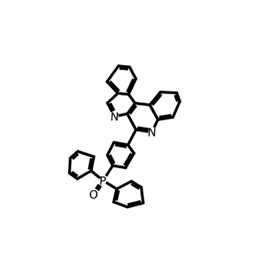 O=P(c1ccccc1)(c1ccccc1)c1ccc(-c2nc3ccccc3c3c2ncc2ccccc23)cc1